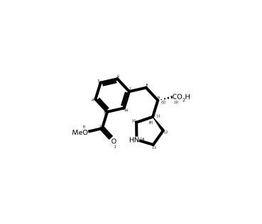 COC(=O)c1cccc(C[C@H](C(=O)O)[C@H]2CCNC2)c1